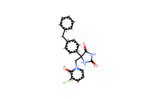 O=C1NC(=O)C(Cn2cccc(F)c2=O)(c2ccc(Cc3ccccc3)cc2)N1